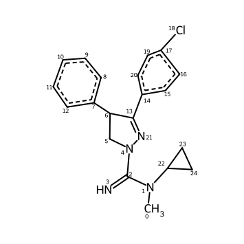 CN(C(=N)N1CC(c2ccccc2)C(c2ccc(Cl)cc2)=N1)C1CC1